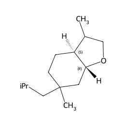 CC(C)CC1(C)CC[C@H]2C(C)CO[C@@H]2C1